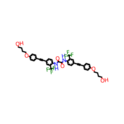 O=C(Nc1ccc(C#Cc2ccc(OCCCCO)cc2)cc1C(F)(F)F)C(=O)Nc1ccc(C#Cc2ccc(OCCCCO)cc2)cc1C(F)(F)F